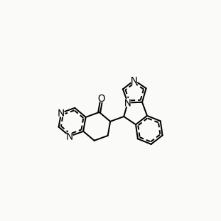 O=C1c2cncnc2CCC1C1c2ccccc2-c2cncn21